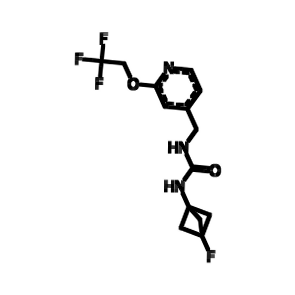 O=C(NCc1ccnc(OCC(F)(F)F)c1)NC12CC(F)(C1)C2